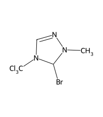 CN1N=CN(C(Cl)(Cl)Cl)C1Br